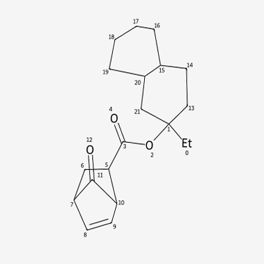 CCC1(OC(=O)C2CC3C=CC2C3=O)CCC2CCCCC2C1